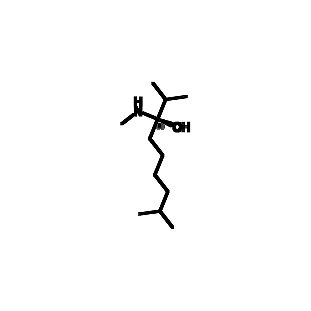 CN[C@@](O)(CCCCC(C)C)C(C)C